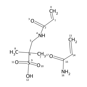 C=CC(=O)NCC(C)(C)S(=O)(=O)O.C=CC(N)=O